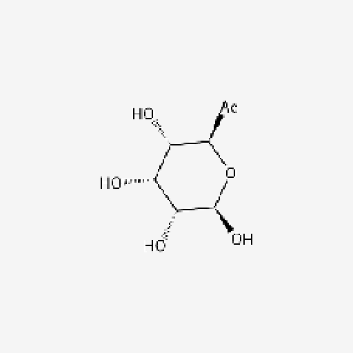 CC(=O)[C@H]1O[C@@H](O)[C@H](O)[C@H](O)[C@@H]1O